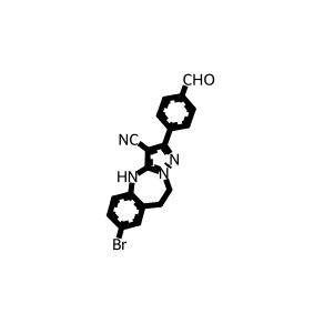 N#Cc1c(-c2ccc(C=O)cc2)nn2c1Nc1ccc(Br)cc1CC2